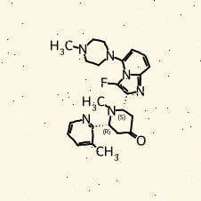 Cc1cccnc1[C@H]1CC(=O)C[C@@H](c2nc3cccc(N4CCN(C)CC4)n3c2F)N1C